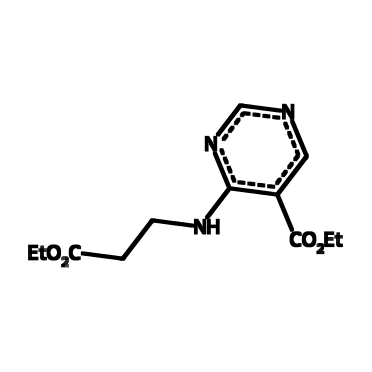 CCOC(=O)CCNc1ncncc1C(=O)OCC